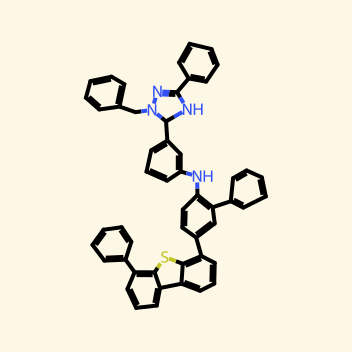 c1ccc(CN2N=C(c3ccccc3)NC2c2cccc(Nc3ccc(-c4cccc5c4sc4c(-c6ccccc6)cccc45)cc3-c3ccccc3)c2)cc1